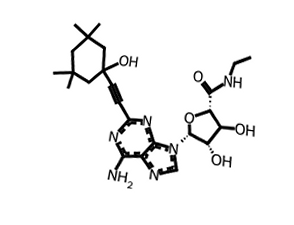 CCNC(=O)[C@H]1O[C@@H](n2cnc3c(N)nc(C#CC4(O)CC(C)(C)CC(C)(C)C4)nc32)[C@@H](O)C1O